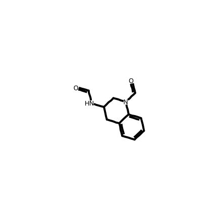 O=CNC1Cc2ccccc2N(C=O)C1